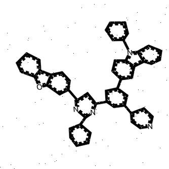 c1ccc(-c2nc(-c3cc(-c4ccncc4)cc(-c4ccc5c(c4)c4ccccc4n5-c4ccccc4)c3)cc(-c3ccc4c(c3)oc3ccccc34)n2)cc1